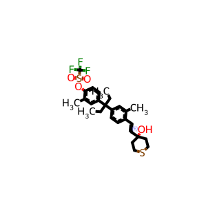 CCC(CC)(c1ccc(/C=C/C2(O)CCSCC2)c(C)c1)c1ccc(OS(=O)(=O)C(F)(F)F)c(C)c1